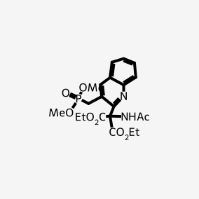 CCOC(=O)C(NC(C)=O)(C(=O)OCC)c1nc2ccccc2cc1CP(=O)(OC)OC